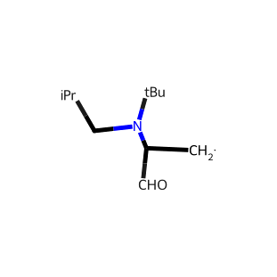 [CH2]C(C=O)N(CC(C)C)C(C)(C)C